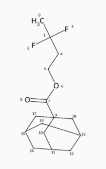 CC(F)(F)CCOC(=O)C12CC3CC(CC(C3)C1)C2